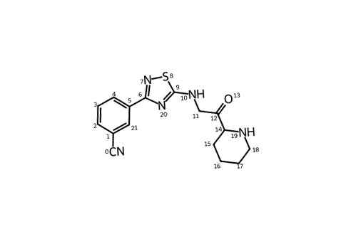 N#Cc1cccc(-c2nsc(NCC(=O)C3CCCCN3)n2)c1